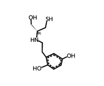 OC[C@H](CS)NCCc1cc(O)ccc1O